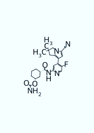 CC1(C)Cc2c(-c3cc(NC(=O)[C@H]4CCC[C@@H](OC(N)=O)C4)ncc3F)cc(C#N)n2C1